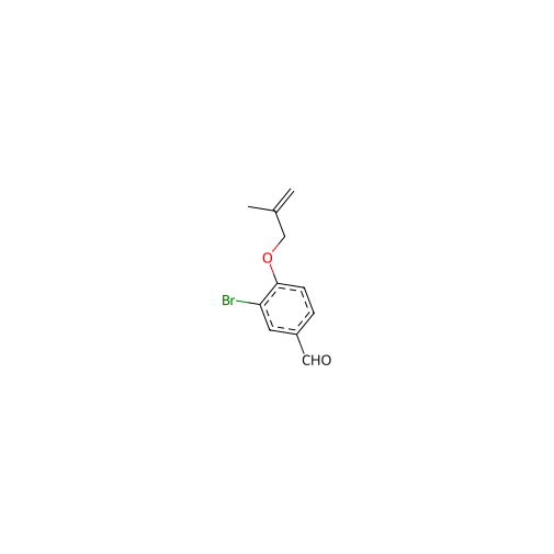 C=C(C)COc1ccc(C=O)cc1Br